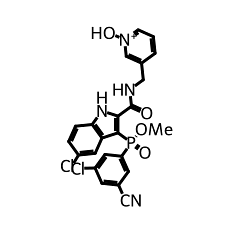 COP(=O)(c1cc(Cl)cc(C#N)c1)c1c(C(=O)NCc2ccc[n+](O)c2)[nH]c2ccc(Cl)cc12